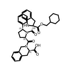 O=C(O)[C@H]1Cc2ccccc2CN1C(=O)[C@H]1CC[C@@H](c2ccccc2)N1C(=O)[C@@]1(C(=O)OCC2CCCCC2)Cc2ccccc2N1